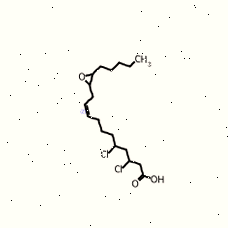 CCCCCC1OC1C/C=C\CCCC(Cl)CC(Cl)CC(=O)O